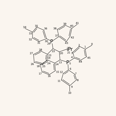 Cc1ccc(P(c2ccc(C)cc2)C(c2ccccc2)C(C(C)C)C(c2ccccc2)P(c2ccc(C)cc2)c2ccc(C)cc2)cc1